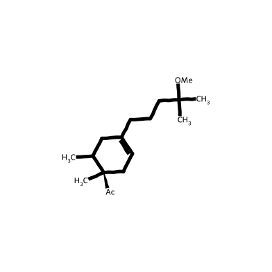 COC(C)(C)CCCC1=CC[C@@](C)(C(C)=O)C(C)C1